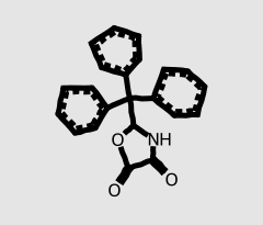 O=C1NC(C(c2ccccc2)(c2ccccc2)c2ccccc2)OC1=O